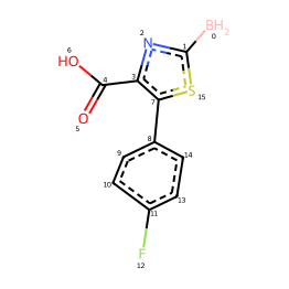 Bc1nc(C(=O)O)c(-c2ccc(F)cc2)s1